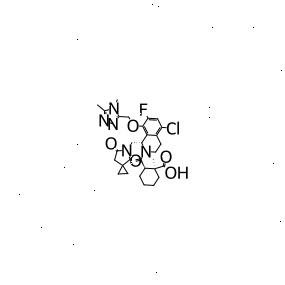 Cc1nnc(COc2c(F)cc(Cl)c3c2[C@@H](CN2CC4(CC4)CC2=O)N(C(=O)[C@@H]2CCCC[C@]2(C)C(=O)O)CC3)n1C